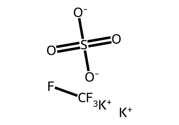 FC(F)(F)F.O=S(=O)([O-])[O-].[K+].[K+]